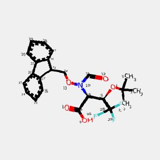 CC(C)(C)O[C@H]([C@@H](C(=O)O)N(C=O)OCC1c2ccccc2-c2ccccc21)C(F)(F)F